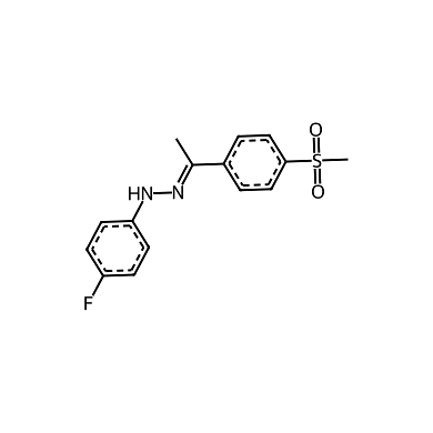 C/C(=N\Nc1ccc(F)cc1)c1ccc(S(C)(=O)=O)cc1